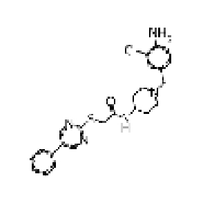 Nc1ccc(CN2CCC(NC(=O)CSc3ncc(-c4ccccc4)cn3)CC2)cc1Cl